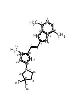 Cc1ncc(C)n2nc(C=Cc3nc(N4CCC(F)(F)C4)nn3C)nc12